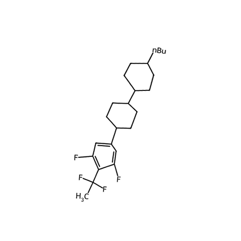 CCCCC1CCC(C2CCC(c3cc(F)c(C(C)(F)F)c(F)c3)CC2)CC1